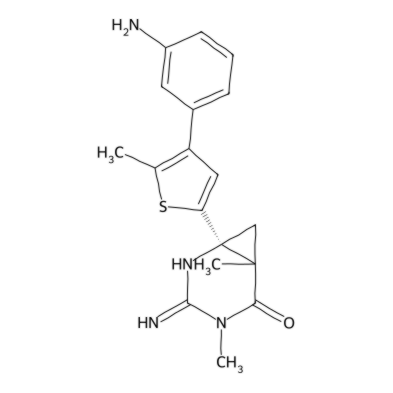 Cc1sc([C@]23CC2(C)C(=O)N(C)C(=N)N3)cc1-c1cccc(N)c1